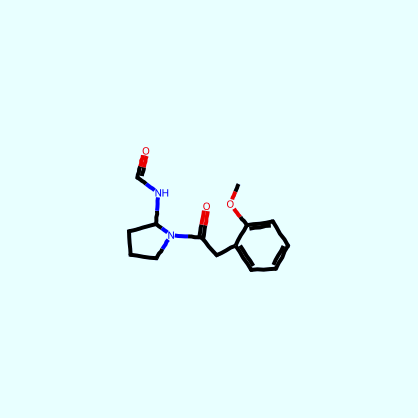 COc1ccccc1CC(=O)N1CCCC1NC=O